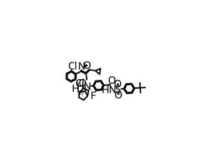 CC(C)(C)c1ccc(S(=O)(=O)NC(=O)c2ccc(NC3C4CC[C@H]3C(OCc3c(-c5c(Cl)cccc5Cl)noc3C3CC3)C4)c(F)c2)cc1